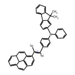 [2H]/C(=C(/[2H])c1ccc2c3c1C=CC1C=CC=C(C=C2)C31)c1ccc(N(c2ccccc2)c2ccc3c(c2)C(C)(C)c2ccccc2-3)cc1